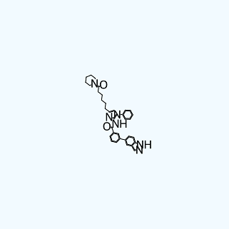 O=C(Nc1nc(CCCCCC(=O)N2CCCCC2)cn1-c1ccccc1)c1cccc(-c2ccc3[nH]ncc3c2)c1